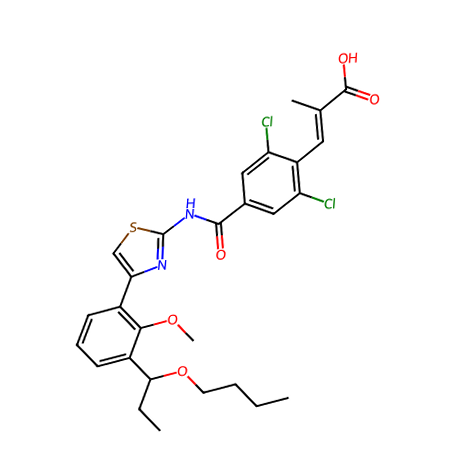 CCCCOC(CC)c1cccc(-c2csc(NC(=O)c3cc(Cl)c(C=C(C)C(=O)O)c(Cl)c3)n2)c1OC